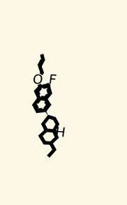 C/C=C/COc1cc2ccc([C@@H]3CC[C@@H]4CC(CC)CCC4C3)cc2cc1F